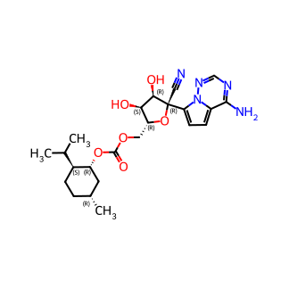 CC(C)[C@@H]1CC[C@@H](C)C[C@H]1OC(=O)OC[C@H]1O[C@@](C#N)(c2ccc3c(N)ncnn23)[C@H](O)[C@@H]1O